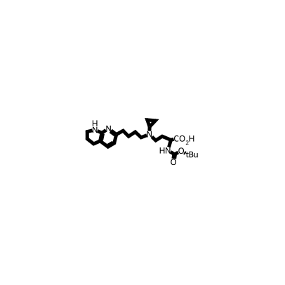 CC(C)(C)OC(=O)NC(CCN(CCCCc1ccc2c(n1)NCCC2)C1CC1)C(=O)O